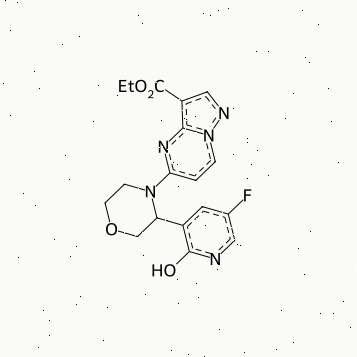 CCOC(=O)c1cnn2ccc(N3CCOCC3c3cc(F)cnc3O)nc12